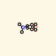 c1ccc(-c2cc(-c3ccccc3)nc(-c3ccc(-c4cccc5c4-c4c(-c6ccncc6)cccc4C54c5ccccc5Oc5ccccc54)cc3)n2)cc1